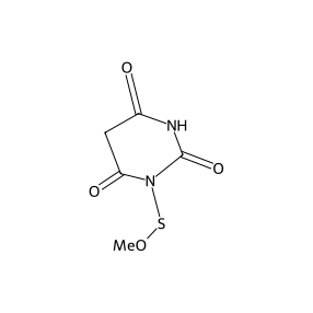 COSN1C(=O)CC(=O)NC1=O